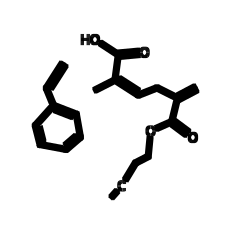 C=C(CC=C(C)C(=O)O)C(=O)OCCCC.C=Cc1ccccc1